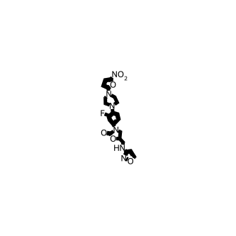 O=C1OC(CNc2ccon2)CN1c1ccc(N2CCN(c3ccc([N+](=O)[O-])o3)CC2)c(F)c1